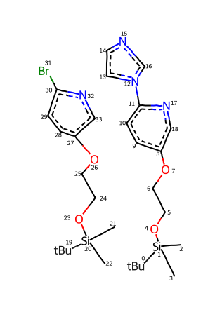 CC(C)(C)[Si](C)(C)OCCOc1ccc(-n2ccnc2)nc1.CC(C)(C)[Si](C)(C)OCCOc1ccc(Br)nc1